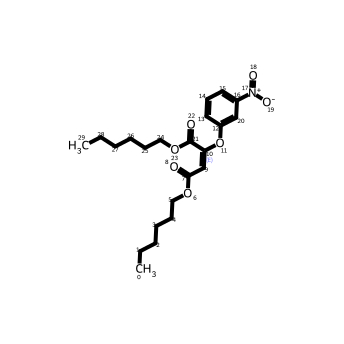 CCCCCCOC(=O)/C=C(/Oc1cccc([N+](=O)[O-])c1)C(=O)OCCCCCC